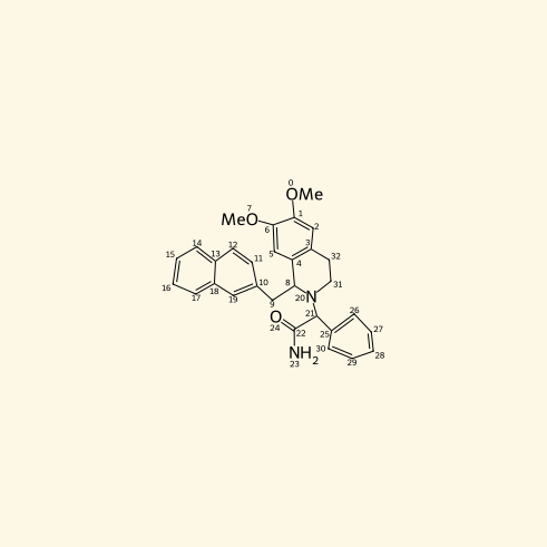 COc1cc2c(cc1OC)C(Cc1ccc3ccccc3c1)N(C(C(N)=O)c1ccccc1)CC2